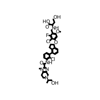 COc1cc(OC2CCc3c(-c4cccc(NC(=O)c5nc6c(n5C)CCN(C(C)CO)C6)c4Cl)cccc32)c(Cl)c(F)c1CNC(CCO)C(=O)O